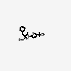 CCOc1nn(-c2ccc(C(C)(C)O)cn2)c(C)c1Cc1ccccc1